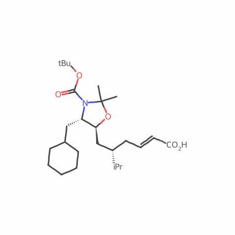 CC(C)[C@@H](CC=CC(=O)O)C[C@@H]1OC(C)(C)N(C(=O)OC(C)(C)C)[C@H]1CC1CCCCC1